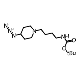 CC(C)(C)OC(=O)NCCCCN1CCC(N=[N+]=[N-])CC1